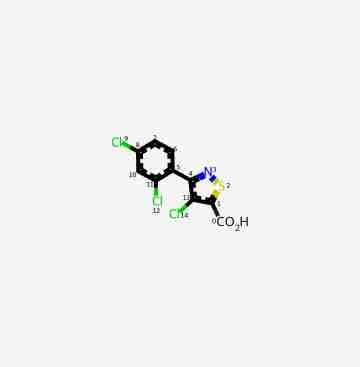 O=C(O)c1snc(-c2ccc(Cl)cc2Cl)c1Cl